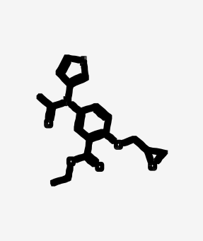 CCOC(=O)c1cc(N(C(C)=O)c2ccsc2)ccc1OCC1CO1